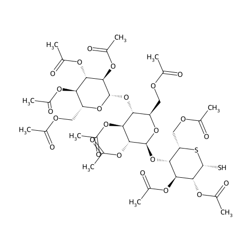 CC(=O)OC[C@@H]1S[C@H](S)[C@H](OC(C)=O)[C@@H](OC(C)=O)[C@@H]1O[C@@H]1O[C@H](COC(C)=O)[C@@H](O[C@@H]2O[C@H](COC(C)=O)[C@@H](OC(C)=O)[C@H](OC(C)=O)[C@H]2OC(C)=O)[C@H](OC(C)=O)[C@H]1OC(C)=O